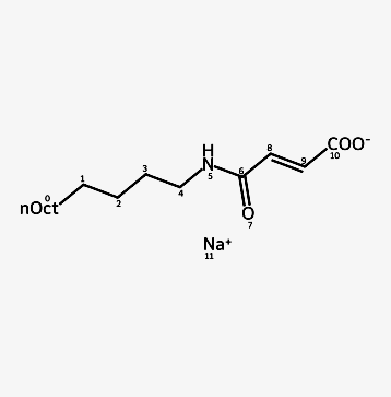 CCCCCCCCCCCCNC(=O)C=CC(=O)[O-].[Na+]